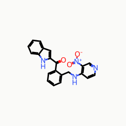 O=C(c1cc2ccccc2[nH]1)c1ccccc1CNc1ccncc1[N+](=O)[O-]